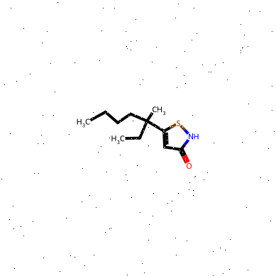 CCCCC(C)(CC)c1cc(=O)[nH]s1